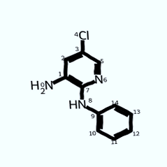 Nc1cc(Cl)cnc1Nc1ccccc1